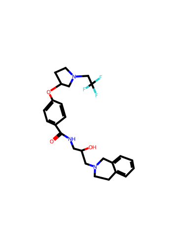 O=C(NCC(O)CN1CCc2ccccc2C1)c1ccc(OC2CCN(CC(F)(F)F)C2)cc1